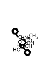 CC(=O)N[C@H]1[C@@H](OCc2ccccc2)O[C@@H]2C(O)C(c3ccccc3)[C@]2(O)[C@@H]1O